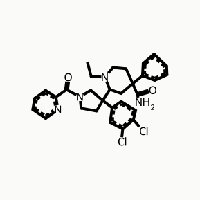 CCN1CCC(C(N)=O)(c2ccccc2)CC1C1(c2ccc(Cl)c(Cl)c2)CCN(C(=O)c2ccccn2)C1